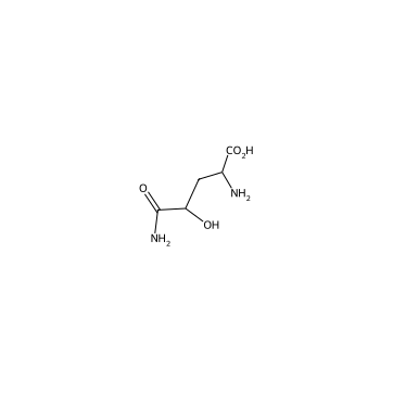 NC(=O)C(O)CC(N)C(=O)O